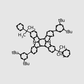 CC(C)(C)c1cc(-c2ccc3c4c5c6ccc(C(C)(C)c7ccccc7)cc6n6c7cc(-c8cc(C(C)(C)C)cc(C(C)(C)C)c8)ccc7c(c7c8ccc(C(C)(C)c9ccccc9)cc8n(c3c2)c47)c56)cc(C(C)(C)C)c1